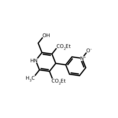 CCOC(=O)C1=C(C)NC(CO)=C(C(=O)OCC)C1c1ccc[n+]([O-])c1